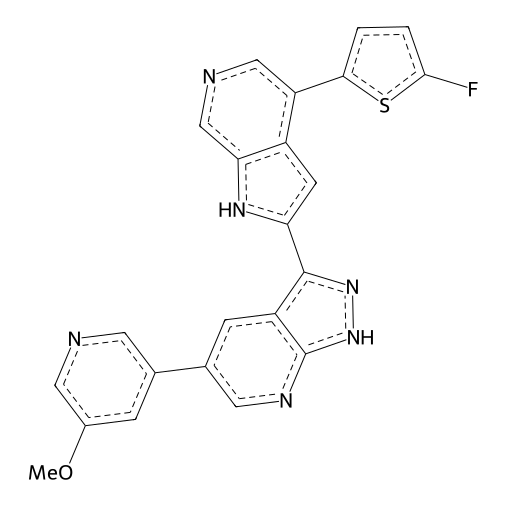 COc1cncc(-c2cnc3[nH]nc(-c4cc5c(-c6ccc(F)s6)cncc5[nH]4)c3c2)c1